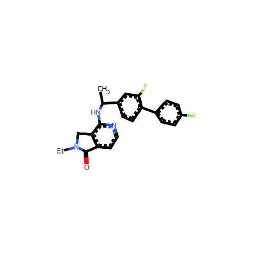 CCN1Cc2c(ccnc2NC(C)c2ccc(-c3ccc(F)cc3)c(F)c2)C1=O